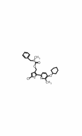 Cc1nc(-c2sc(Cl)cc2COC(=O)N(C)Cc2ccccc2)ccc1OC1CCCCC1